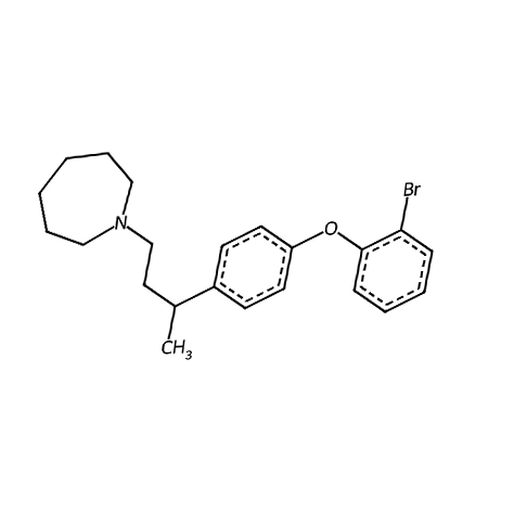 CC(CCN1CCCCCC1)c1ccc(Oc2ccccc2Br)cc1